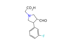 O=CC1CN(CC(=O)O)CC1c1cccc(F)c1